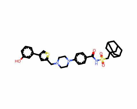 O=C(NS(=O)(=O)CC12CC3CC(CC(C3)C1)C2)c1ccc(N2CCN(Cc3cc(-c4cccc(O)c4)cs3)CC2)cc1